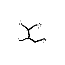 [CH2]C(C)CC(C)C(CC)CCC